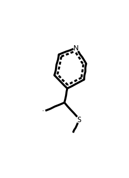 [CH2]C(SC)c1ccncc1